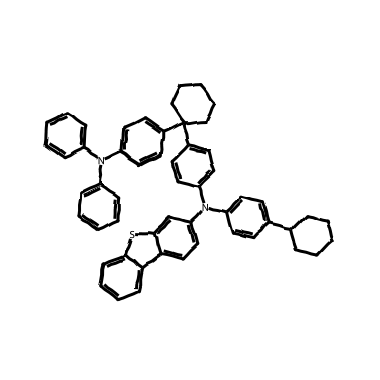 c1ccc(N(c2ccccc2)c2ccc(C3(c4ccc(N(c5ccc(C6CCCCC6)cc5)c5ccc6c(c5)sc5ccccc56)cc4)CCCCC3)cc2)cc1